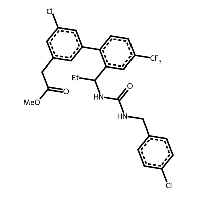 CCC(NC(=O)NCc1ccc(Cl)cc1)c1cc(C(F)(F)F)ccc1-c1cc(Cl)cc(CC(=O)OC)c1